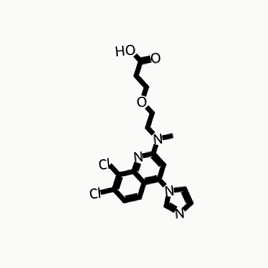 CN(CCOCCC(=O)O)c1cc(-n2ccnc2)c2ccc(Cl)c(Cl)c2n1